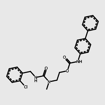 CN(CCOC(=O)Nc1ccc(-c2ccccc2)cc1)C(=O)NCc1ccccc1Cl